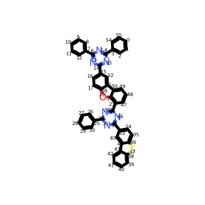 c1ccc(-c2nc(-c3ccccc3)nc(-c3ccc4oc5c(-c6nc(-c7ccccc7)nc(-c7ccc8sc9ccccc9c8c7)n6)cccc5c4c3)n2)cc1